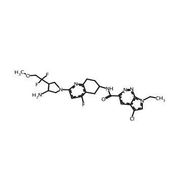 CCn1cc(Cl)c2cc(C(=O)NC3CCc4nc(N5CC(N)C(C(F)(F)COC)C5)cc(F)c4C3)nnc21